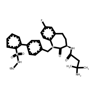 CC(C)(N)CC(=O)N[C@@H]1CCc2cc(F)ccc2N(Cc2ccc(-c3ccccc3S(=O)(=O)NC(C)(C)C)cc2)C1=O